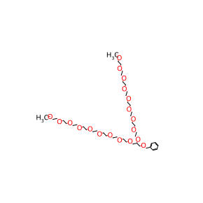 COCCOCCOCCOCCOCCOCCOCCOCCOCC(COCc1ccccc1)OCCOCCOCCOCCOCCOCCOCCOCCOC